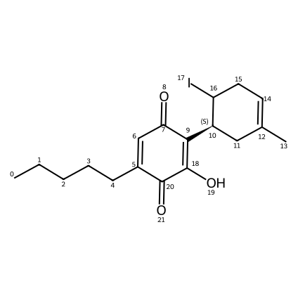 CCCCCC1=CC(=O)C([C@@H]2CC(C)=CCC2I)=C(O)C1=O